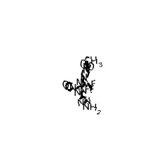 CS(=O)(=O)N1CCN(c2nc3c(N4CCOCC4)nc(-c4cnc(N)nc4)nc3n2CC(F)(F)F)CC1